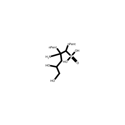 CCCCCC(C(N)(CCCCC)CC(O)CO)P(=O)(O)O